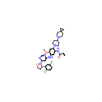 C=CC(=O)Nc1cc(Nc2cc(N3OCC[C@@H]3c3cc(F)ccc3F)ncn2)c(OC)cc1N1CCC(N2CCC3(CC2)CC3)CC1